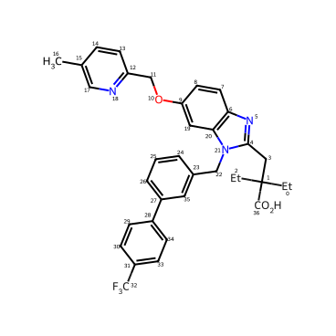 CCC(CC)(Cc1nc2ccc(OCc3ccc(C)cn3)cc2n1Cc1cccc(-c2ccc(C(F)(F)F)cc2)c1)C(=O)O